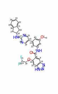 COc1cc(NC(=O)c2cc3nn[nH]c3cc2OCC(F)F)cc(-c2cnc(NC3Cc4ccccc4C3)nc2)c1